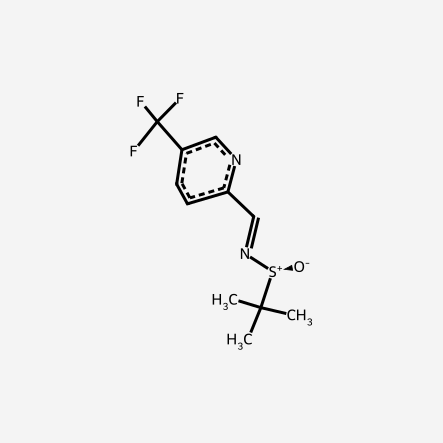 CC(C)(C)[S@+]([O-])N=Cc1ccc(C(F)(F)F)cn1